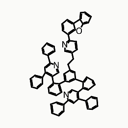 c1ccc(-c2cc(-c3ccccc3)c(-c3ccccc3-c3cc(CCc4ccc(-c5cccc6c5oc5ccccc56)nc4)cc(-c4ccccc4-c4cnc(-c5ccccc5)cc4-c4ccccc4)c3)cn2)cc1